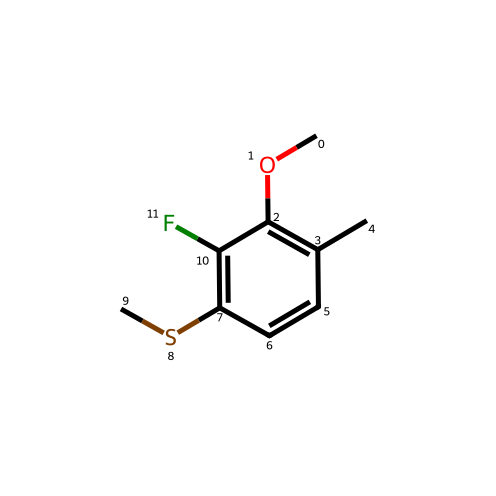 COc1c(C)ccc(SC)c1F